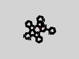 c1ccc(-n2c3ccccc3c3c4cncnc4c4c5ccccc5n(-c5cc(-c6ccccn6)nc(-c6ccccn6)c5)c4c32)cc1